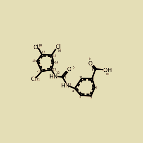 O=C(Nc1cccc(C(=O)O)c1)Nc1cc(Cl)c(Cl)cc1Cl